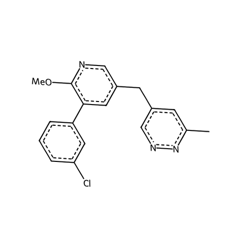 COc1ncc(Cc2cnnc(C)c2)cc1-c1cccc(Cl)c1